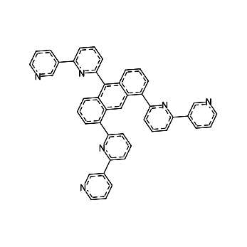 c1cncc(-c2cccc(-c3cccc4c(-c5cccc(-c6cccnc6)n5)c5cccc(-c6cccc(-c7cccnc7)n6)c5cc34)n2)c1